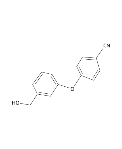 N#Cc1ccc(Oc2cccc(CO)c2)cc1